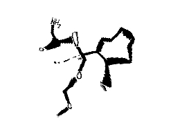 COCO[C@@](C)(OC(N)=O)c1ccccc1I